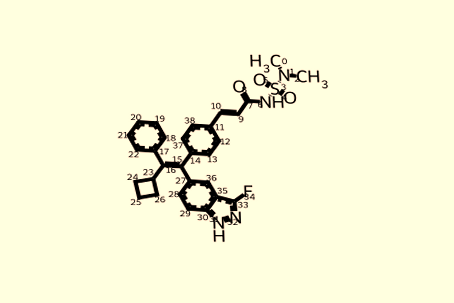 CN(C)S(=O)(=O)NC(=O)/C=C/c1ccc(/C(=C(\c2ccccc2)C2CCC2)c2ccc3[nH]nc(F)c3c2)cc1